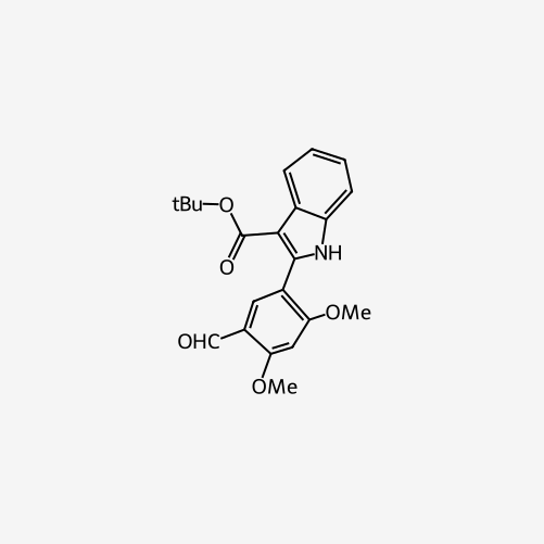 COc1cc(OC)c(-c2[nH]c3ccccc3c2C(=O)OC(C)(C)C)cc1C=O